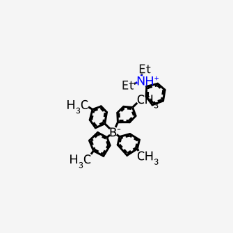 CC[NH+](CC)c1ccccc1.Cc1ccc([B-](c2ccc(C)cc2)(c2ccc(C)cc2)c2ccc(C)cc2)cc1